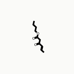 C/C=C/C(=O)CC(=O)OCCCC